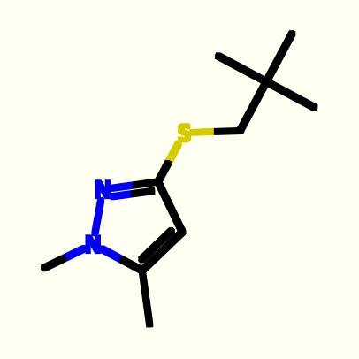 Cc1cc(SCC(C)(C)C)nn1C